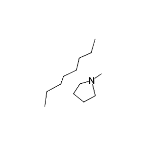 CCCCCCCC.CN1CCCC1